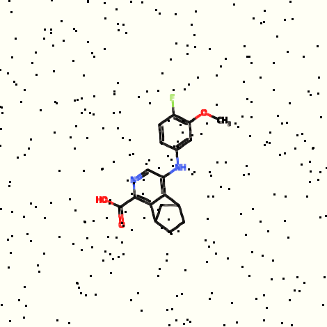 COc1cc(Nc2cnc(C(=O)O)c3c2C2CCC3C2)ccc1F